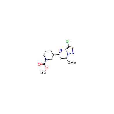 COc1cc(C2CCCN(C(=O)OC(C)(C)C)C2)nc2c(Br)cnn12